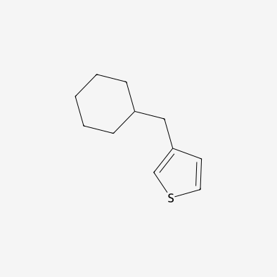 c1cc(CC2CCCCC2)cs1